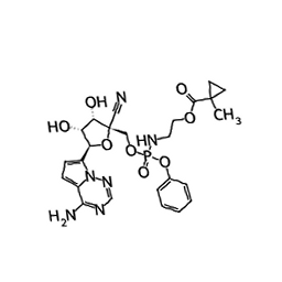 CC1(C(=O)OCCNP(=O)(OC[C@@]2(C#N)O[C@@H](c3ccc4c(N)ncnn34)[C@H](O)[C@@H]2O)Oc2ccccc2)CC1